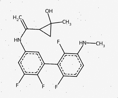 C=C(Nc1cc(F)c(F)c(-c2c(F)ccc(NC)c2F)c1)C1CC1(C)O